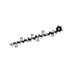 COCNCCNCCNCCNCCNCCNCOCCC(=O)OCc1ccccc1